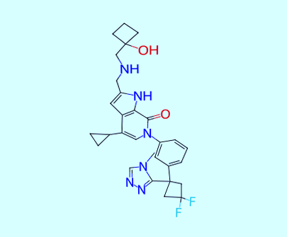 Cn1cnnc1C1(c2cccc(-n3cc(C4CC4)c4cc(CNCC5(O)CCC5)[nH]c4c3=O)c2)CC(F)(F)C1